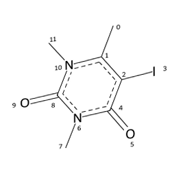 Cc1c(I)c(=O)n(C)c(=O)n1C